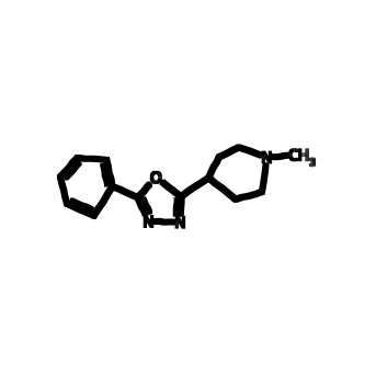 CN1CCC(c2nnc(-c3ccccc3)o2)CC1